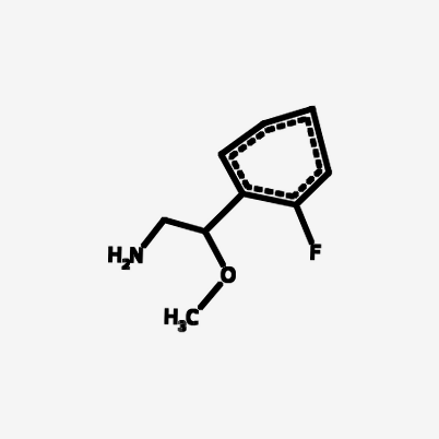 COC(CN)c1ccccc1F